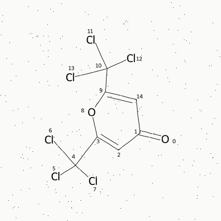 O=c1cc(C(Cl)(Cl)Cl)oc(C(Cl)(Cl)Cl)c1